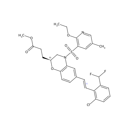 CCOc1ncc(C)cc1S(=O)(=O)N1C[C@H](CCC(=O)OC)Oc2ccc(/C=C/c3c(Cl)cccc3C(F)F)cc21